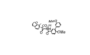 COc1cccc(-c2cc(C(=O)NC3C(=O)C3(C(=O)O)c3ccc4c(c3C)OCC=C4)ccc2OC)c1